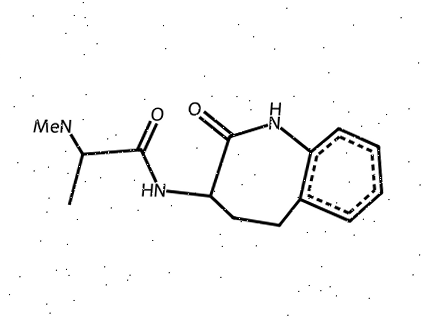 CNC(C)C(=O)NC1CCc2ccccc2NC1=O